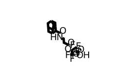 O=C(CCNC(=O)C1C2CC3CC(C2)CC1C3)OC(C(F)(F)F)C(F)(F)S(=O)(=O)O